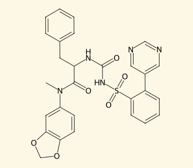 CN(C(=O)C(Cc1ccccc1)NC(=O)NS(=O)(=O)c1ccccc1-c1cncnc1)c1ccc2c(c1)OCO2